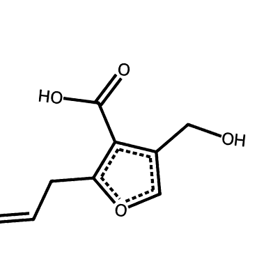 C=CCc1occ(CO)c1C(=O)O